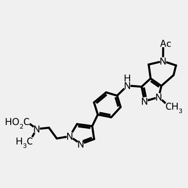 CC(=O)N1CCc2c(c(Nc3ccc(-c4cnn(CCN(C)C(=O)O)c4)cc3)nn2C)C1